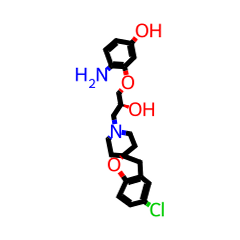 Nc1ccc(O)cc1OC[C@@H](O)CN1CCC2(CC1)Cc1cc(Cl)ccc1O2